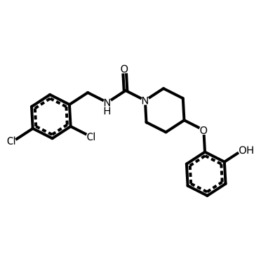 O=C(NCc1ccc(Cl)cc1Cl)N1CCC(Oc2ccccc2O)CC1